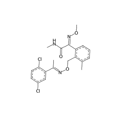 CNC(=O)/C(=N/OC)c1cccc(C)c1CO/N=C(\C)c1cc(Cl)ccc1Cl